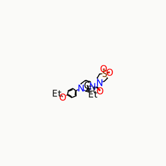 CCOc1ccc(N2CC3CN(C(=O)N4CCS(=O)(=O)CC4)CC2C(CC)(CC)C3)cc1